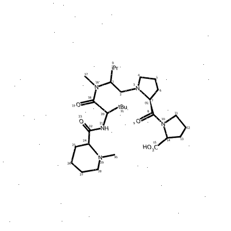 CC(C)C(CN1CCC[C@H]1C(=O)N1CCCC1C(=O)O)N(C)C(=O)C(NC(=O)C1CCCCN1C)C(C)(C)C